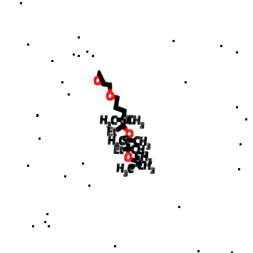 CCC(O[Si](C)(C)C(C)(CC)O[Si](C)(C)C)[Si](C)(C)CCCOCC1CO1